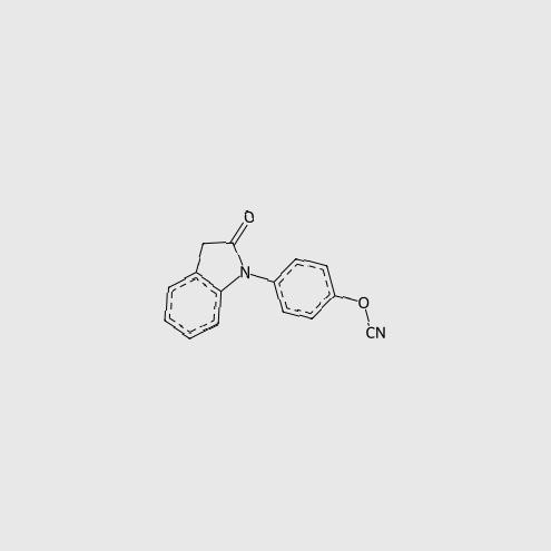 N#COc1ccc(N2C(=O)Cc3ccccc32)cc1